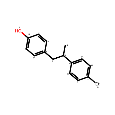 CCc1ccc(C(C)Cc2ccc(O)cc2)cc1